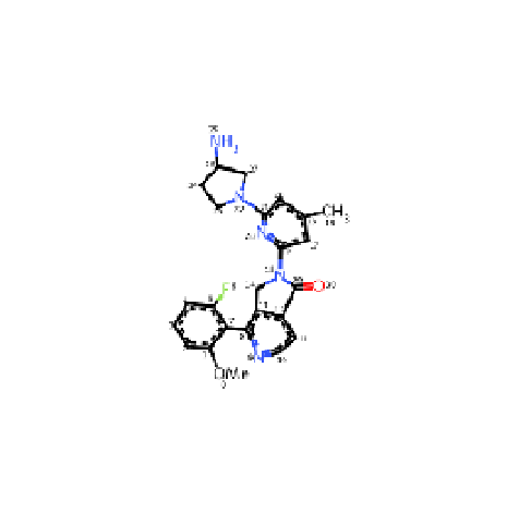 COc1cccc(F)c1-c1nccc2c1CN(c1cc(C)cc(N3CCC(N)C3)n1)C2=O